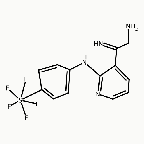 N=C(CN)c1cccnc1Nc1ccc(S(F)(F)(F)(F)F)cc1